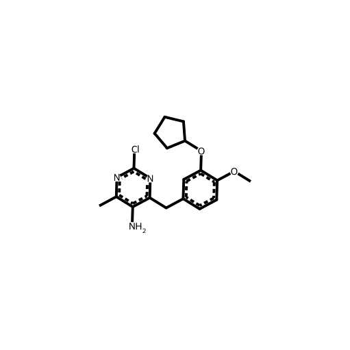 COc1ccc(Cc2nc(Cl)nc(C)c2N)cc1OC1CCCC1